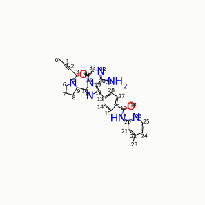 CC#CC(=O)N1CCCC1c1nc(-c2ccc(C(=O)Nc3cc(C)ccn3)cc2)c2c(N)nccn12